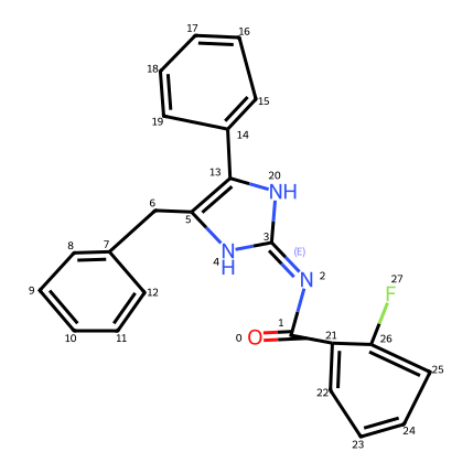 O=C(/N=c1\[nH]c(Cc2ccccc2)c(-c2ccccc2)[nH]1)c1ccccc1F